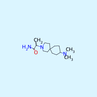 C=C(C(N)=O)N1CCC2(CCC(N(C)C)CC2)CC1